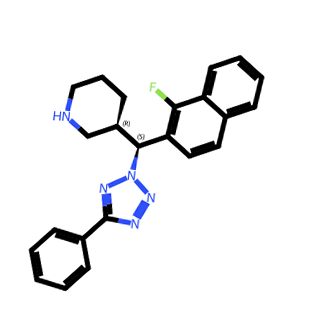 Fc1c([C@H]([C@@H]2CCCNC2)n2nnc(-c3ccccc3)n2)ccc2ccccc12